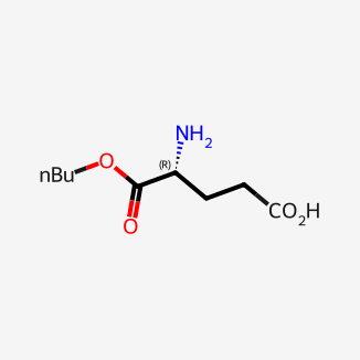 CCCCOC(=O)[C@H](N)CCC(=O)O